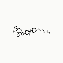 NCCCN1CCN(c2ccc(OC3CCC(=O)NC3=O)cn2)CC1